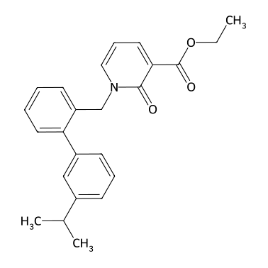 CCOC(=O)c1cccn(Cc2ccccc2-c2cccc(C(C)C)c2)c1=O